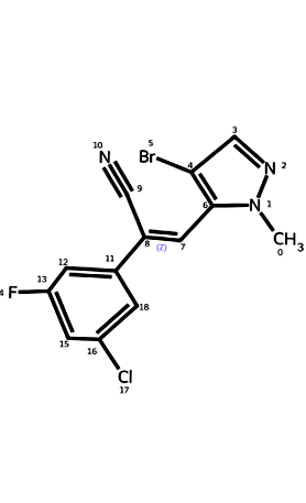 Cn1ncc(Br)c1/C=C(\C#N)c1cc(F)cc(Cl)c1